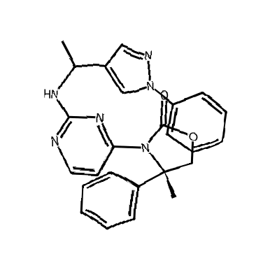 CC(Nc1nccc(N2C(=O)OC[C@]2(C)c2ccccc2)n1)c1cnn(-c2ccccc2)c1